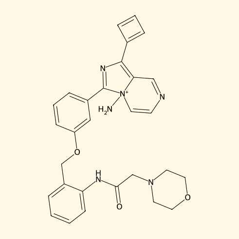 N[N+]12C=CN=CC1=C(C1=CC=C1)N=C2c1cccc(OCc2ccccc2NC(=O)CN2CCOCC2)c1